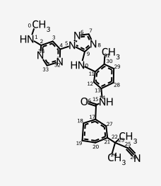 CNc1cc(-n2ncnc2Nc2cc(NC(=O)c3cccc(C(C)(C)C#N)c3)ccc2C)ncn1